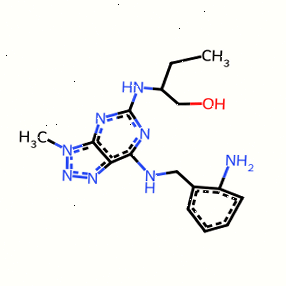 CCC(CO)Nc1nc(NCc2ccccc2N)c2nnn(C)c2n1